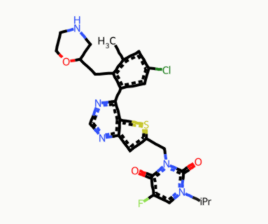 Cc1cc(Cl)cc(-c2ncnc3cc(Cn4c(=O)c(F)cn(C(C)C)c4=O)sc23)c1CC1CNCCO1